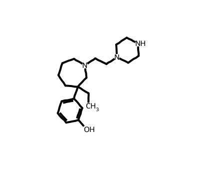 CCC1(c2cccc(O)c2)CCCCN(CCN2CCNCC2)C1